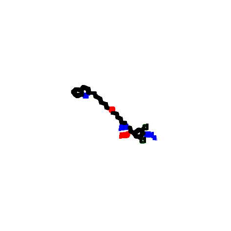 Nc1c(Cl)cc(C(O)CNCCCCCCOCCCCCCc2ccc3ccccc3n2)cc1Cl